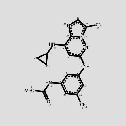 COC(=O)Nc1cc(Nc2cc(NC3CC3)c3ncc(C#N)n3n2)cc(C(F)(F)F)c1